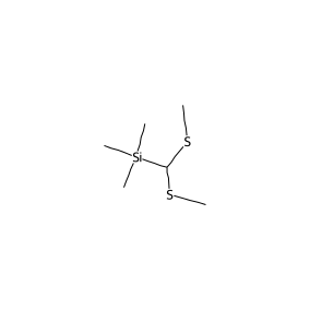 CSC(SC)[Si](C)(C)C